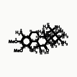 Bc1c2c(c(B)c(OC)c1OC)C1N(CC2)C(B)(B)C(B)(C(B)(B)C(B)(C(B)(B)B)C(B)(B)B)C(=O)C1(B)B